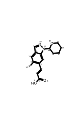 O=C(O)/C=C/c1cc2c(cnn2C2CCCCO2)cc1F